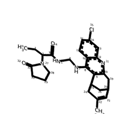 CCC(C(=O)NCNc1c2c(nc3cc(Cl)ccc13)CC1C=C(C)CC2C1)N1CCCC1=O